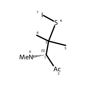 CN[C@@H](C(C)=O)C(C)(C)SI